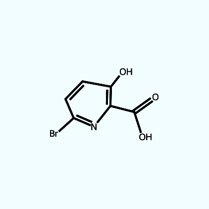 O=C(O)c1nc(Br)ccc1O